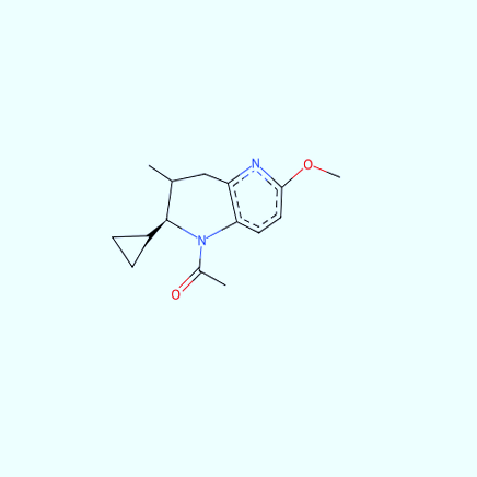 COc1ccc2c(n1)CC(C)[C@H](C1CC1)N2C(C)=O